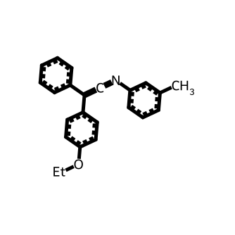 CCOc1ccc(C(=C=Nc2cccc(C)c2)c2ccccc2)cc1